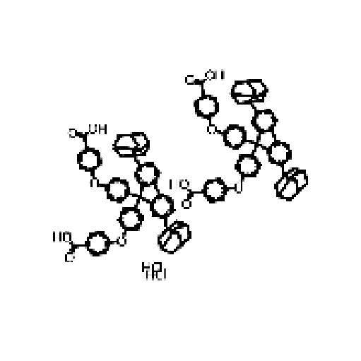 Cl.Cl.O=C(O)c1ccc(Oc2ccc(C3(c4ccc(Oc5ccc(C(=O)O)cc5)cc4)c4cc(C56CC7CC(CC(C7)C5)C6)ccc4-c4ccc(C56CC7CC(CC(C7)C5)C6)cc43)cc2)cc1.O=C(O)c1ccc(Oc2ccc(C3(c4ccc(Oc5ccc(C(=O)O)cc5)cc4)c4cc(C56CC7CC(CC(C7)C5)C6)ccc4-c4ccc(C56CC7CC(CC(C7)C5)C6)cc43)cc2)cc1